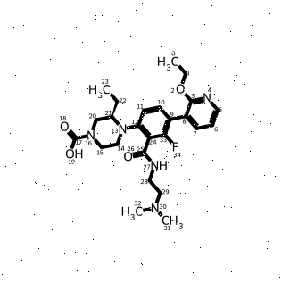 CCOc1ncccc1-c1ccc(N2CCN(C(=O)O)C[C@H]2CC)c(C(=O)NCCN(C)C)c1F